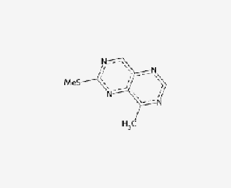 CSc1ncc2ncnc(C)c2n1